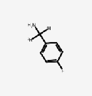 [2H]C([2H])(N)c1ccc(F)cc1